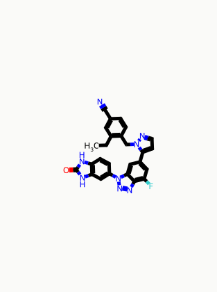 CCc1cc(C#N)ccc1Cn1nccc1-c1cc(F)c2nnn(-c3ccc4[nH]c(=O)[nH]c4c3)c2c1